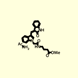 CC(N)=O.COC(=O)CCCNC(=O)Cn1cc(/C=C2\C(=O)Nc3ccccc32)c2ccccc21